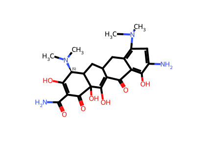 CN(C)c1cc(N)c(O)c2c1CC1CC3[C@H](N(C)C)C(O)=C(C(N)=O)C(=O)C3(O)C(O)=C1C2=O